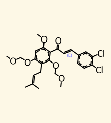 COCOc1cc(OC)c(C(=O)/C=C/c2ccc(Cl)c(Cl)c2)c(OCOC)c1CC=C(C)C